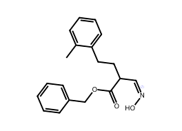 Cc1ccccc1CCC(/C=N\O)C(=O)OCc1ccccc1